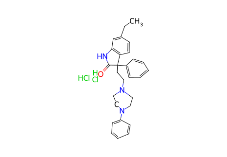 CCc1ccc2c(c1)NC(=O)C2(CCN1CCN(c2ccccc2)CC1)c1ccccc1.Cl.Cl